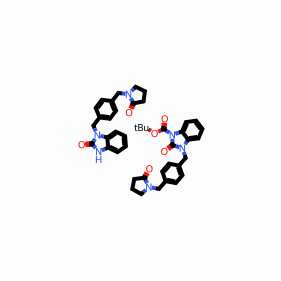 CC(C)(C)OC(=O)n1c(=O)n(Cc2ccc(CN3CCCC3=O)cc2)c2ccccc21.O=C1CCCN1Cc1ccc(Cn2c(=O)[nH]c3ccccc32)cc1